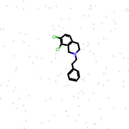 Clc1ccc2c(c1Cl)CN(CCc1ccccc1)CC2